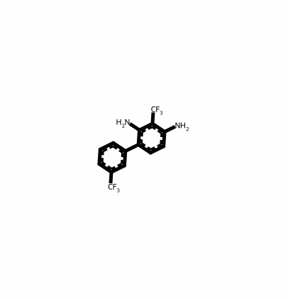 Nc1ccc(-c2cccc(C(F)(F)F)c2)c(N)c1C(F)(F)F